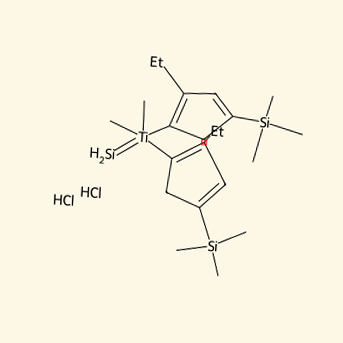 CCC1=[C]([Ti]([CH3])([CH3])(=[SiH2])[C]2=C(CC)C=C([Si](C)(C)C)C2)CC([Si](C)(C)C)=C1.Cl.Cl